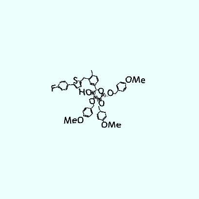 COc1ccc(COC[C@H]2OC(c3ccc(C)c(Cc4ccc(-c5ccc(F)cc5)s4)c3)[C@H](O)[C@@H](OCc3ccc(OC)cc3)[C@@H]2OCc2ccc(OC)cc2)cc1